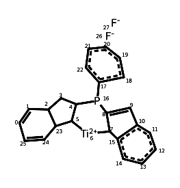 C1=CC2CC3[CH]([Ti+2][CH]4C(=Cc5ccccc54)P3c3ccccc3)C2C=C1.[F-].[F-]